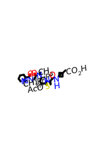 CC(=O)O[C@H](C[C@H](C(C)C)N(C)C(=O)[C@@H](NC(=O)C1CCCCN1C)C(C)C)c1nc(C(=O)NC23CC(CC(=O)O)(C2)C3)cs1